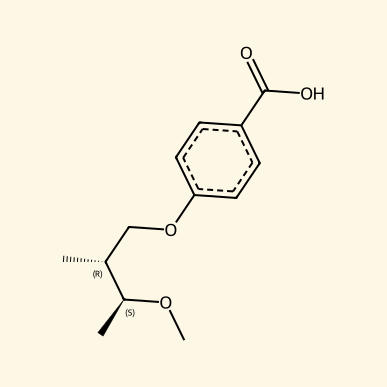 CO[C@@H](C)[C@H](C)COc1ccc(C(=O)O)cc1